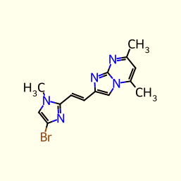 Cc1cc(C)n2cc(C=Cc3nc(Br)cn3C)nc2n1